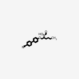 CCCCC(COc1ccc(-c2ccc(C#N)cc2)cc1)N(O)C=O